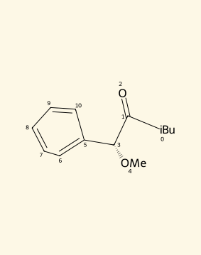 CCC(C)C(=O)[C@H](OC)c1ccccc1